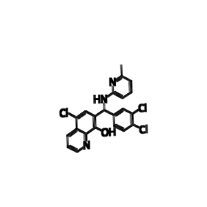 Cc1cccc(NC(c2ccc(Cl)c(Cl)c2)c2cc(Cl)c3cccnc3c2O)n1